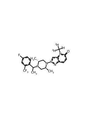 [2H]C([2H])([2H])n1c(=O)ccc2nn(N3C[C@@H](C)N(C(C)c4ccc(F)cc4C(F)(F)F)C[C@@H]3C)cc21